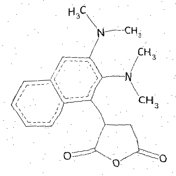 CN(C)c1cc2ccccc2c(C2CC(=O)OC2=O)c1N(C)C